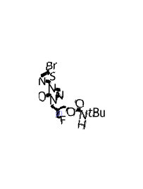 CC(C)(C)NC(=O)OC/C(=C\F)Cn1ncn(-c2ncc(Br)s2)c1=O